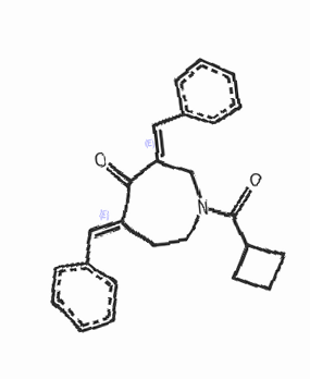 O=C1/C(=C/c2ccccc2)CCN(C(=O)C2CCC2)C/C1=C\c1ccccc1